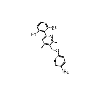 CCc1cccc(CC)c1-c1cc(C)c(COc2ccc(C(C)CC)cc2)c(C)n1